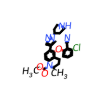 COC(=O)N1c2ccc(-c3cnn(C4CCNCC4)c3)c(Oc3cccc(Cl)c3C#N)c2CCC1C